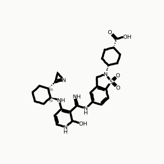 N=C(Nc1ccc2c(c1)CN([C@H]1CC[C@@H](C(=O)O)CC1)S2(=O)=O)C1=C(N[C@H]2CCCC[C@@H]2C2=NC2)C=CNC1O